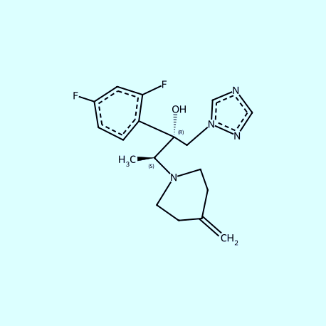 C=C1CCN([C@@H](C)[C@](O)(Cn2cncn2)c2ccc(F)cc2F)CC1